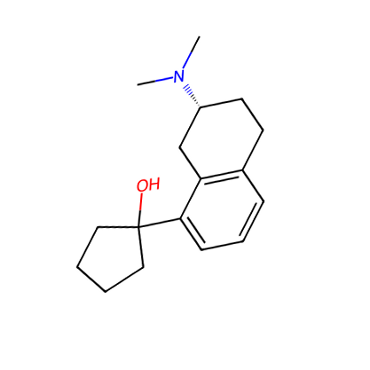 CN(C)[C@@H]1CCc2cccc(C3(O)CCCC3)c2C1